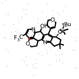 CC1(C)Cc2nc(C3CCOCC3)c(C(O)c3ccc(C(F)(F)F)cn3)c(C3=CCOCC3)c2[C@@H](O[Si](C)(C)C(C)(C)C)C1